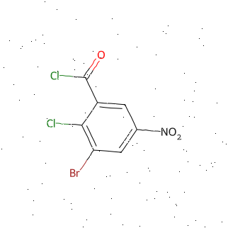 O=C(Cl)c1cc([N+](=O)[O-])cc(Br)c1Cl